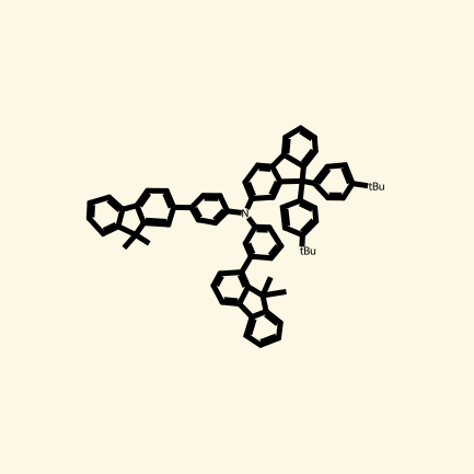 CC(C)(C)c1ccc(C2(c3ccc(C(C)(C)C)cc3)c3ccccc3-c3ccc(N(c4ccc(-c5ccc6c(c5)C(C)(C)c5ccccc5-6)cc4)c4cccc(-c5cccc6c5C(C)(C)c5ccccc5-6)c4)cc32)cc1